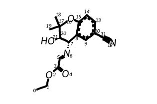 CCOC(=O)C=N[C@H]1c2cc(C#N)ccc2OC(C)(C)[C@@H]1O